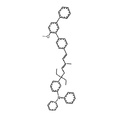 CCC(CC)(C/C=C(C)/C=C/c1ccc(-c2cc(-c3ccccc3)ccc2OC)cc1)c1cccc(N(c2ccccc2)c2ccccc2)c1